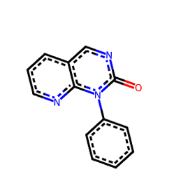 O=c1ncc2cccnc2n1-c1ccccc1